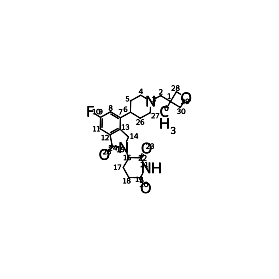 CC1(CN2CCC(c3cc(F)cc4c3CN(C3CCC(=O)NC3=O)C4=O)CC2)COC1